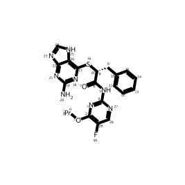 CC(C)Oc1nc(NC(=O)[C@@H](Cc2ccccc2)Sc2nc(N)nc3nc[nH]c23)ncc1F